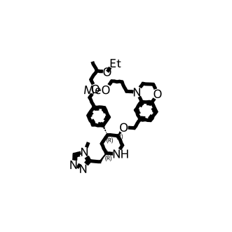 CCOC(C)COCc1ccc([C@H]2C[C@H](Cc3nncn3C)NC[C@@H]2OCc2ccc3c(c2)N(CCCOC)CCO3)cc1